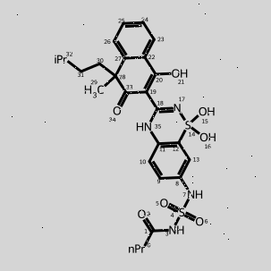 CCCC(=O)NS(=O)(=O)Nc1ccc2c(c1)S(O)(O)N=C(C1=C(O)c3ccccc3C(C)(CCC(C)C)C1=O)N2